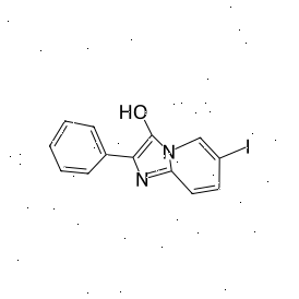 Oc1c(-c2ccccc2)nc2ccc(I)cn12